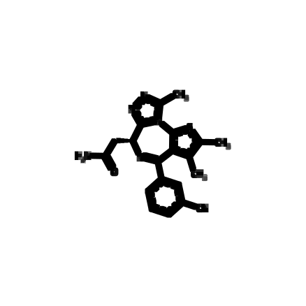 Cc1sc2c(c1C)C(c1cccc(C#N)c1)=N[C@H](CC(N)=O)c1nnc(C)n1-2